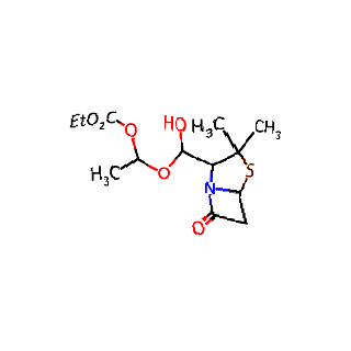 CCOC(=O)OC(C)OC(O)C1N2C(=O)CC2SC1(C)C